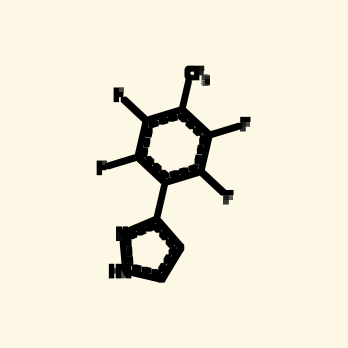 Fc1c(F)c(C(F)(F)F)c(F)c(F)c1-c1cc[nH]n1